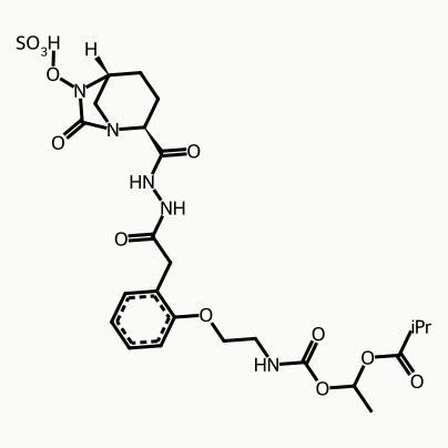 CC(OC(=O)NCCOc1ccccc1CC(=O)NNC(=O)[C@@H]1CC[C@@H]2CN1C(=O)N2OS(=O)(=O)O)OC(=O)C(C)C